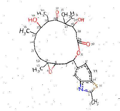 Cc1nc2cc(C3CC4OC4(C)CCCC(C)C(O)C(C)C(=O)C(C)(C)C(O)CC(=O)O3)ccc2s1